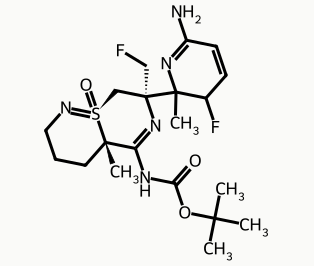 CC(C)(C)OC(=O)NC1=N[C@](CF)(C2(C)N=C(N)C=CC2F)C[S@]2(=O)=NCCC[C@@]12C